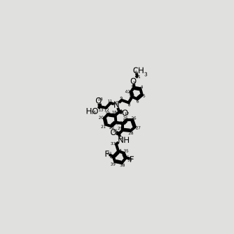 CCOc1cccc(CCN(CCC(=O)O)C(=O)c2ccccc2-c2ccccc2C(=O)NCc2cc(F)ccc2F)c1